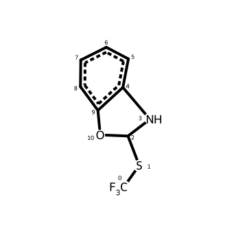 FC(F)(F)SC1Nc2ccccc2O1